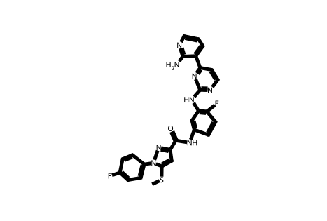 CSc1cc(C(=O)Nc2ccc(F)c(Nc3nccc(-c4cccnc4N)n3)c2)nn1-c1ccc(F)cc1